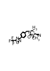 CCN(Cc1ccc(-c2noc(C(F)(F)F)n2)cc1)C(=O)N(C)CC#N